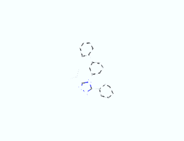 CC(C)c1nnc(-c2ccccc2)n1-c1cccc(-c2ccccc2)c1